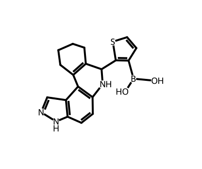 OB(O)c1ccsc1C1Nc2ccc3[nH]ncc3c2C2=C1CCCC2